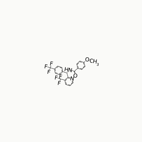 COc1ccc(C(=O)N[C@@H](c2ccc(C(F)(F)F)cc2)c2ncccc2C(F)(F)F)cc1